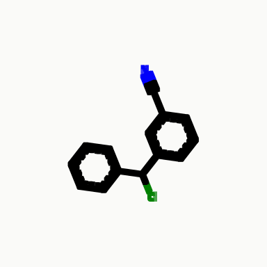 N#Cc1cccc(C(Cl)c2ccccc2)c1